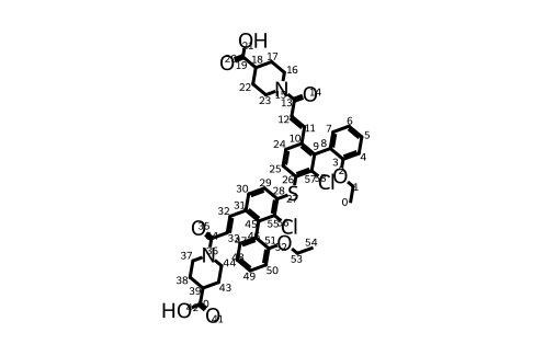 CCOc1ccccc1-c1c(/C=C/C(=O)N2CCC(C(=O)O)CC2)ccc(Sc2ccc(/C=C/C(=O)N3CCC(C(=O)O)CC3)c(-c3ccccc3OCC)c2Cl)c1Cl